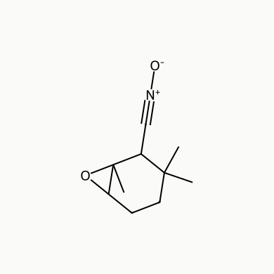 CC1(C)CCC2OC2(C)C1C#[N+][O-]